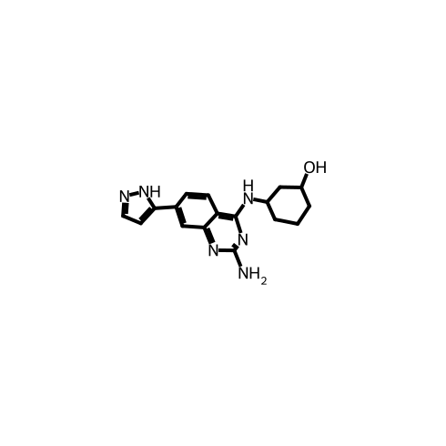 Nc1nc(NC2CCCC(O)C2)c2ccc(-c3ccn[nH]3)cc2n1